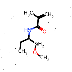 C=C(C)C(=O)NC(CC)[SiH2]OC